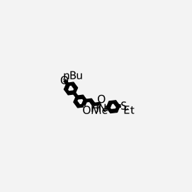 CCCCOc1ccc(-c2ccc(OC)c(/C=C/C(=O)Nc3ccc(SCC)cc3)c2)cc1